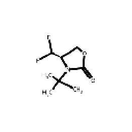 CC(C)(C)N1C(=O)OC[C@@H]1C(F)F